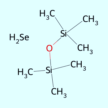 C[Si](C)(C)O[Si](C)(C)C.[SeH2]